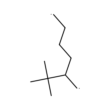 [CH2]CCCC([CH2])C(C)(C)C